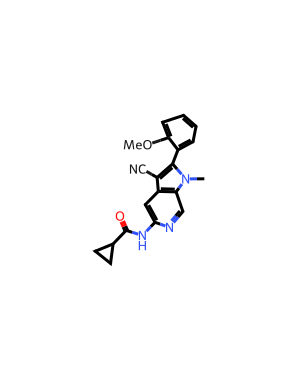 COc1ccccc1-c1c(C#N)c2cc(NC(=O)C3CC3)ncc2n1C